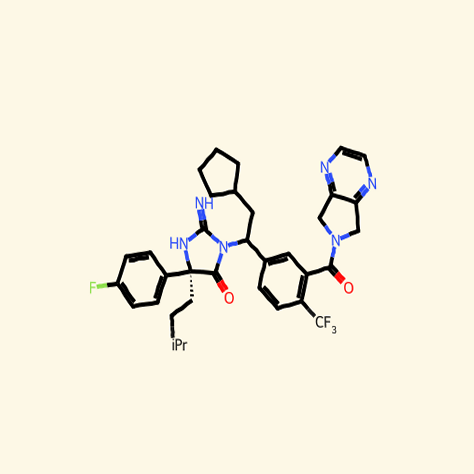 CC(C)CC[C@]1(c2ccc(F)cc2)NC(=N)N(C(CC2CCCC2)c2ccc(C(F)(F)F)c(C(=O)N3Cc4nccnc4C3)c2)C1=O